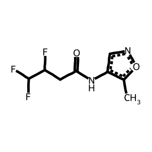 Cc1oncc1NC(=O)CC(F)C(F)F